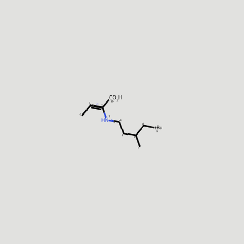 C/C=C(\NCCC(C)CC(C)(C)C)C(=O)O